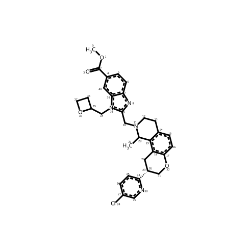 COC(=O)c1ccc2nc(CN3CCc4ccc5c(c4C3C)C[C@@H](c3ccc(Cl)cn3)CO5)n(CC3CCO3)c2c1